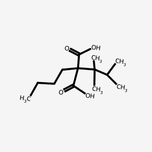 CCCCC(C(=O)O)(C(=O)O)C(C)(C)C(C)C